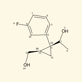 CC(O)[C@@]1(c2cccc(F)c2)C[C@H]1CO